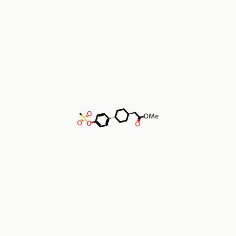 COC(=O)C[C@H]1CC[C@H](c2ccc(OS(C)(=O)=O)cc2)CC1